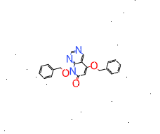 O=c1cc(OCc2ccccc2)c2cncnc2n1OCc1ccccc1